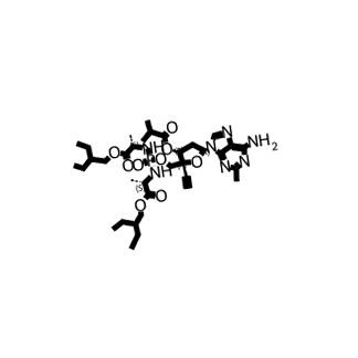 C#C[C@]1(COP(=O)(N[C@@H](C)C(=O)OCC(CC)CC)N[C@@H](C)C(=O)OCC(CC)CC)O[C@@H](n2cnc3c(N)nc(C)nc32)C[C@@H]1OC(=O)C(C)C